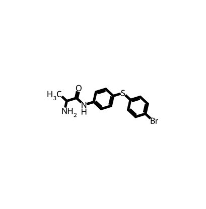 CC(N)C(=O)Nc1ccc(Sc2ccc(Br)cc2)cc1